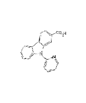 O=C(O)c1ccc2c3ccccc3n(-c3ccccn3)c2c1